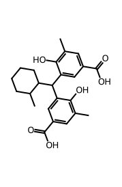 Cc1cc(C(=O)O)cc(C(c2cc(C(=O)O)cc(C)c2O)C2CCCCC2C)c1O